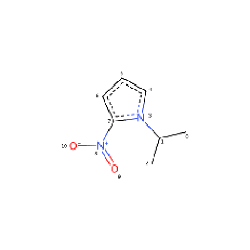 CC(C)n1cccc1[N+](=O)[O-]